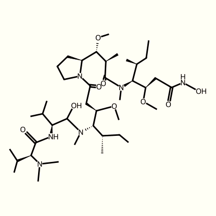 CC[C@H](C)[C@@H]([C@@H](CC(=O)NO)OC)N(C)C(=O)[C@H](C)[C@@H](OC)[C@@H]1CCCN1C(=O)C[C@@H](OC)[C@H]([C@@H](C)CC)N(C)C(O)[C@@H](NC(=O)[C@H](C(C)C)N(C)C)C(C)C